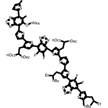 CCCCCCCCCCC(CCCCCCCC)Cc1cc(-c2c(F)c(F)c(-c3cc(CC(CCCCCCCC)CCCCCCCCCC)c(-c4ccc(-c5c(OCCCCCC)c(C)c(-c6ccc(C)s6)c6nsnc56)s4)s3)c3nsnc23)sc1-c1ccc(-c2sc(-c3c(F)c(F)c(-c4cc(CC(CC)CCCC)c(C)s4)c4nsnc34)cc2CC(CC)CCCC)s1